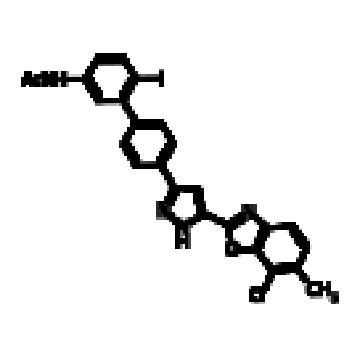 CC(=O)Nc1ccc(I)c(-c2ccc(-c3cc(-c4nc5ccc(C)c(Cl)c5o4)[nH]n3)cc2)c1